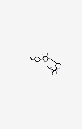 C=CC1CCC(C2CCC(CCCC(CC)C/C(F)=C(F)\C(=C/C)OCC)C(F)=C2F)CC1